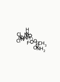 CCC(COC(N)=O)Oc1ccc(F)cc1Cc1ccc2[nH]nc(Nc3cc(Cl)nc(Cl)n3)c2c1